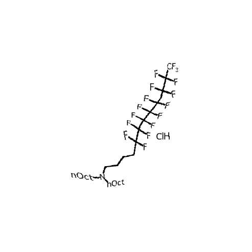 CCCCCCCCN(CCCCCCCC)CCCCC(F)(F)C(F)(F)C(F)(F)C(F)(F)C(F)(F)C(F)(F)C(F)(F)C(F)(F)F.Cl